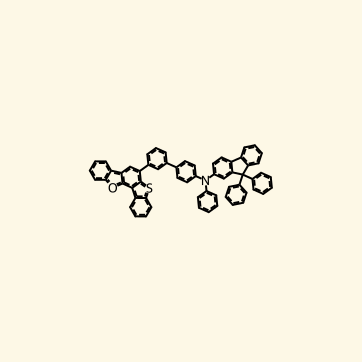 c1ccc(N(c2ccc(-c3cccc(-c4cc5c6ccccc6oc5c5c4sc4ccccc45)c3)cc2)c2ccc3c(c2)C(c2ccccc2)(c2ccccc2)c2ccccc2-3)cc1